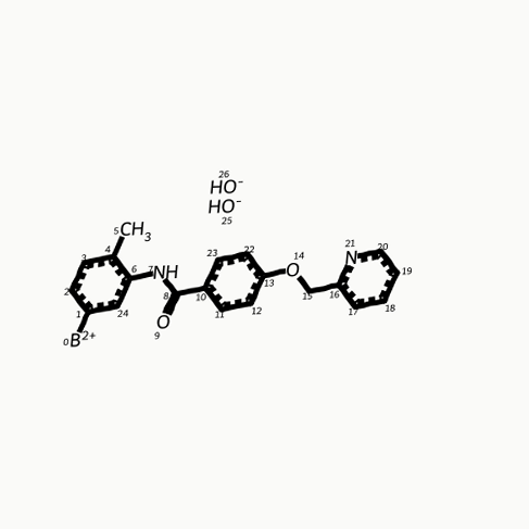 [B+2]c1ccc(C)c(NC(=O)c2ccc(OCc3ccccn3)cc2)c1.[OH-].[OH-]